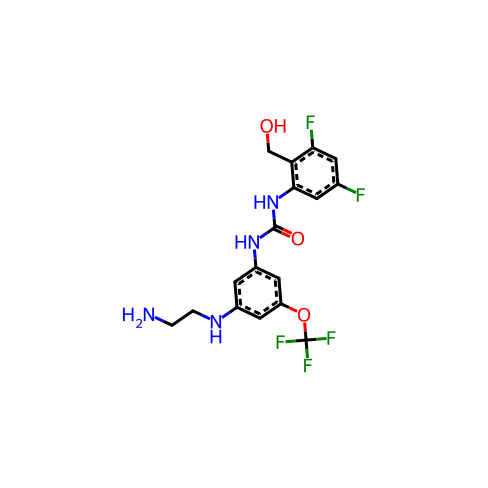 NCCNc1cc(NC(=O)Nc2cc(F)cc(F)c2CO)cc(OC(F)(F)F)c1